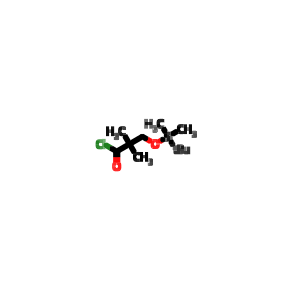 CC(C)(CO[Si](C)(C)C(C)(C)C)C(=O)Cl